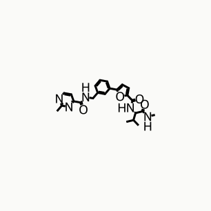 CNC(=O)[C@@H](NC(=O)c1ccc(-c2cccc(CNC(=O)c3ccnc(C)n3)c2)o1)C(C)C